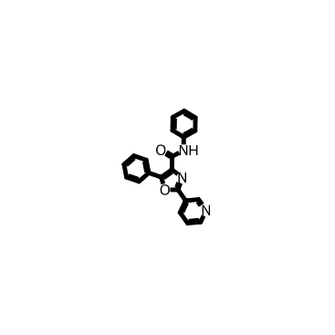 O=C(Nc1ccccc1)c1nc(-c2cccnc2)oc1-c1ccccc1